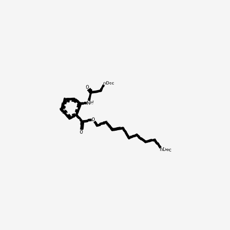 CCCCCCCCCCCCCCCCCCOC(=O)c1ccccc1NC(=O)CCCCCCCCCCC